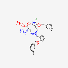 Cc1cccc(COc2ccccc2CN(CC[C@H](N)C(=O)O)Cc2ccnc(F)c2OCc2cccc(C)c2)c1